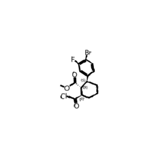 COC(=O)[C@@H]1[C@@H](c2ccc(Br)c(F)c2)CCC[C@H]1C(=O)Cl